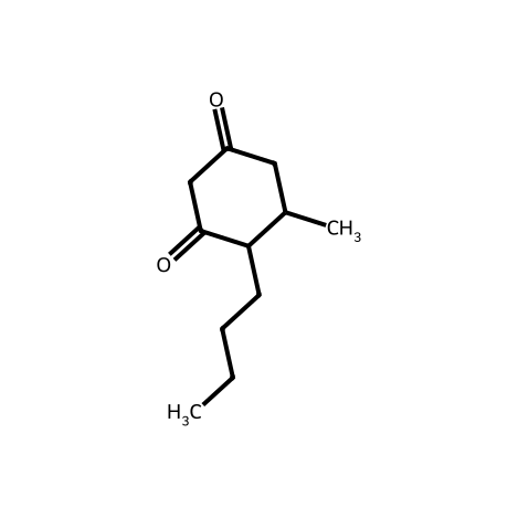 CCCCC1C(=O)CC(=O)CC1C